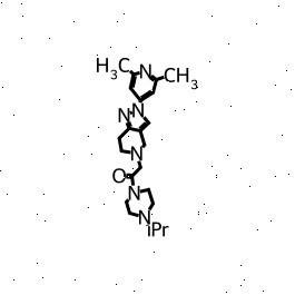 Cc1cc(-n2cc3c(n2)CCN(CC(=O)N2CCN(C(C)C)CC2)C3)cc(C)n1